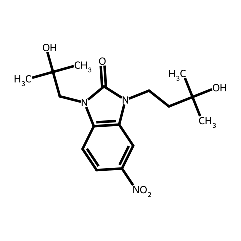 CC(C)(O)CCn1c(=O)n(CC(C)(C)O)c2ccc([N+](=O)[O-])cc21